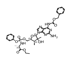 CCOC(=O)[C@H](C)NP(=O)(OC[C@H]1O[C@@H](n2cnc3c(NC(=O)OCc4ccccc4)nc(N)nc32)C(C)(O)[C@H]1C)Oc1ccccc1